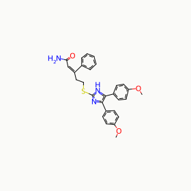 COc1ccc(-c2nc(SCCC(=CC(N)=O)c3ccccc3)[nH]c2-c2ccc(OC)cc2)cc1